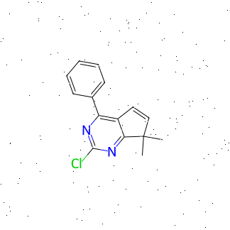 CC1(C)C=Cc2c(-c3ccccc3)nc(Cl)nc21